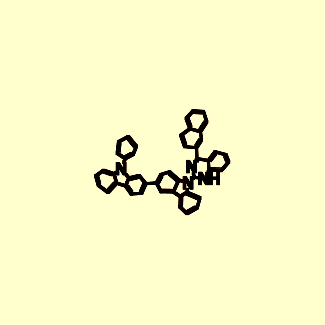 c1ccc(-n2c3ccccc3c3ccc(-c4ccc5c(c4)c4ccccc4n5C4N=C(c5ccc6ccccc6c5)c5ccccc5N4)cc32)cc1